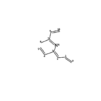 C=C/C=C(C=C)\N=C(/C)C=C